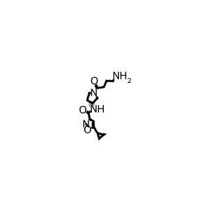 NCCCC(=O)N1CC[C@@H](NC(=O)c2cc(C3CC3)on2)C1